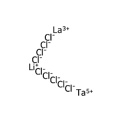 [Cl-].[Cl-].[Cl-].[Cl-].[Cl-].[Cl-].[Cl-].[Cl-].[Cl-].[La+3].[Li+].[Ta+5]